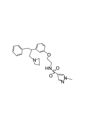 Cn1cc(S(=O)(=O)NCCOc2cccc(C(Cc3ccccc3)CN3CCC3)c2)cn1